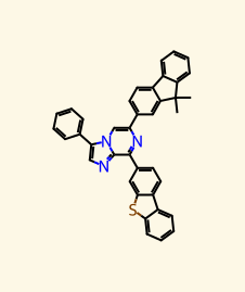 CC1(C)c2ccccc2-c2ccc(-c3cn4c(-c5ccccc5)cnc4c(-c4ccc5c(c4)sc4ccccc45)n3)cc21